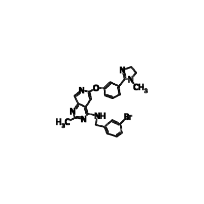 Cc1nc(NCc2cccc(Br)c2)c2cc(Oc3cccc(C4=NCCN4C)c3)ncc2n1